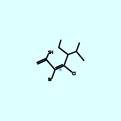 C=C(S)/C(Br)=C(/Cl)C(CC)C(C)C